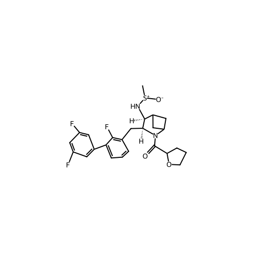 C[S+]([O-])N[C@H]1C2CC(C2)N(C(=O)C2CCCO2)[C@H]1Cc1cccc(-c2cc(F)cc(F)c2)c1F